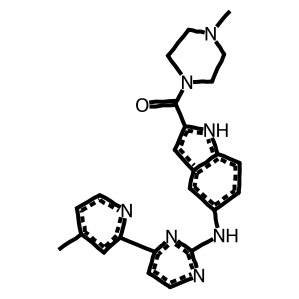 Cc1ccnc(-c2ccnc(Nc3ccc4[nH]c(C(=O)N5CCN(C)CC5)cc4c3)n2)c1